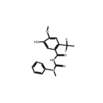 COc1cc(C(F)(F)F)c(C(=O)NC(=O)N(C)c2ccccc2)cc1O